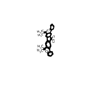 CC(C)(C)c1cc2c(cc1-c1ccccc1)C(Cl)(Cl)c1cc(-c3ccccc3)c(C(C)(C)C)cc1-2